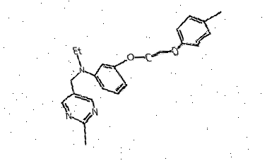 CCN(Cc1cnc(C)nc1)c1cccc(OCCOc2ccc(C)cc2)c1